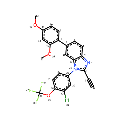 C#Cc1nc2ccc(-c3ccc(OC)cc3OC)cc2n1-c1ccc(OC(F)(F)F)c(Cl)c1